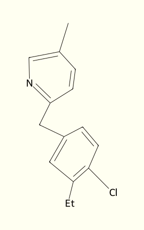 CCc1cc(Cc2ccc(C)cn2)ccc1Cl